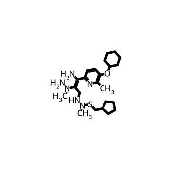 Cc1nc(/C(N)=C(\CNN(C)SCC2CCCC2)N(C)N)ccc1OC1CCCCC1